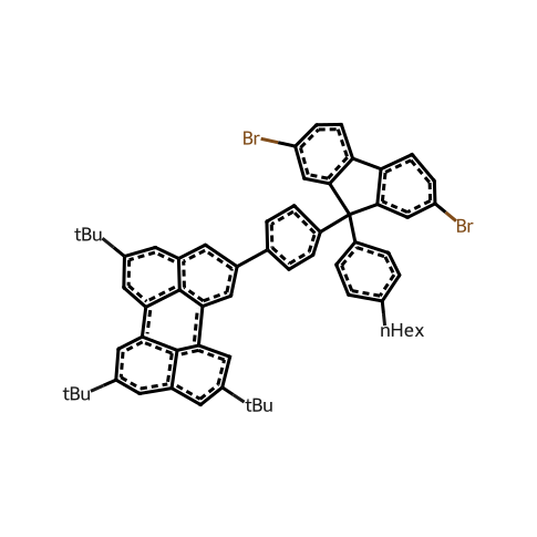 CCCCCCc1ccc(C2(c3ccc(-c4cc5cc(C(C)(C)C)cc6c7cc(C(C)(C)C)cc8cc(C(C)(C)C)cc(c(c4)c56)c87)cc3)c3cc(Br)ccc3-c3ccc(Br)cc32)cc1